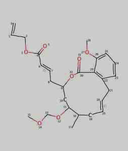 C=CCOC(=O)/C=C/CC1CC(OCOC)C(C)C/C=C/Cc2cccc(OC)c2C(=O)O1